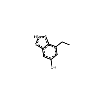 CCc1cc(O)cc2n[nH]nc12